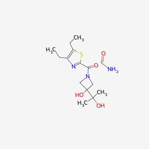 CCc1nc(C(=O)N2CC(O)(C(C)(C)O)C2)sc1CC.NC=O